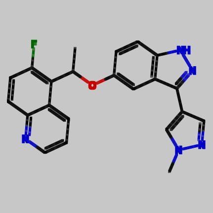 CC(Oc1ccc2[nH]nc(-c3cnn(C)c3)c2c1)c1c(F)ccc2ncccc12